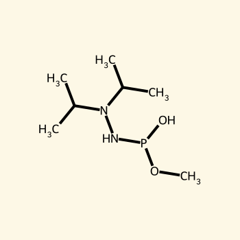 COP(O)NN(C(C)C)C(C)C